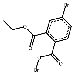 CCOC(=O)c1cc(Br)ccc1C(=O)OBr